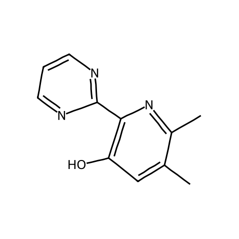 Cc1cc(O)c(-c2ncccn2)nc1C